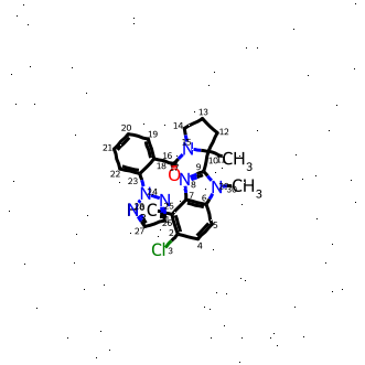 Cc1c(Cl)ccc2c1nc(C1(C)CCCN1C(=O)c1ccccc1-n1nccn1)n2C